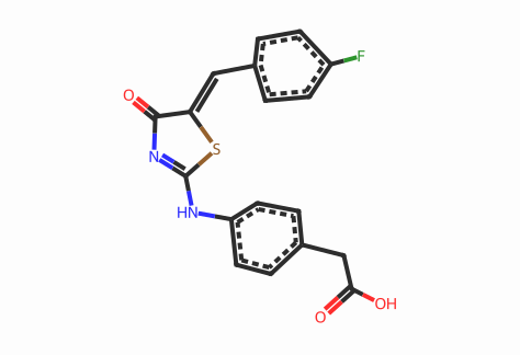 O=C(O)Cc1ccc(NC2=NC(=O)/C(=C/c3ccc(F)cc3)S2)cc1